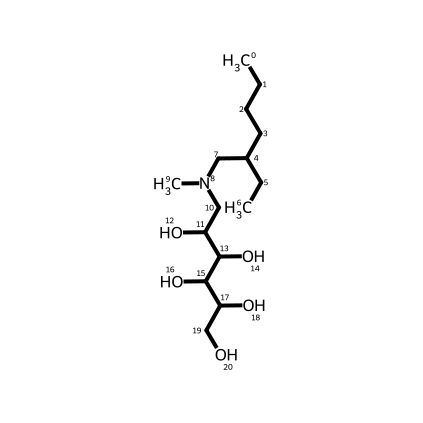 CCCCC(CC)CN(C)CC(O)C(O)C(O)C(O)CO